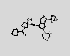 C[C@@H]1COCCN1c1cc(C#CC2(O)CCN(C(=O)c3ccccc3)C2)c2cnn(-c3cc[nH]n3)c2n1